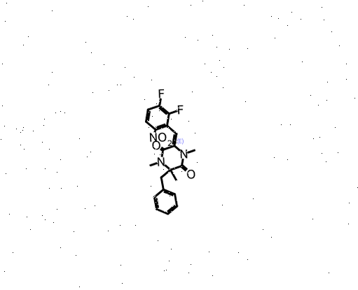 CN1C(=O)C(C)(Cc2ccccc2)N(C)C(=O)/C1=C\c1c([N+](=O)[O-])ccc(F)c1F